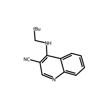 CC(C)(C)CNc1c(C#N)cnc2ccccc12